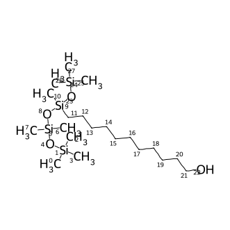 C[Si](C)(C)O[Si](C)(C)O[Si](C)(CCCCCCCCCCCO)O[Si](C)(C)C